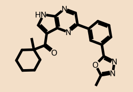 Cc1nnc(-c2cccc(-c3cnc4[nH]cc(C(=O)C5(C)CCCCC5)c4n3)c2)o1